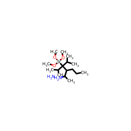 CCCC(C(C)N)C(C(C)C)(C(C)C)[Si](OC)(OC)OC.N